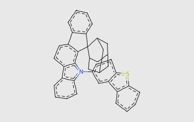 c1ccc2c(c1)-c1ccc3c4ccccc4n(-c4ccc5sc6ccccc6c5c4)c3c1C21C2CC3CC(C2)CC1C3